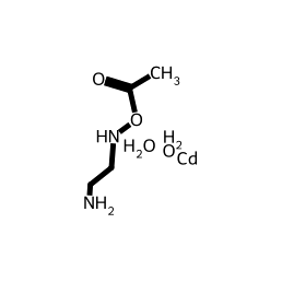 CC(=O)ONCCN.O.O.[Cd]